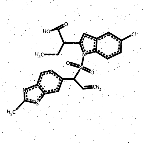 C=CC(c1ccc2nc(C)sc2c1)S(=O)(=O)n1c(C(CC)C(=O)O)cc2cc(Cl)ccc21